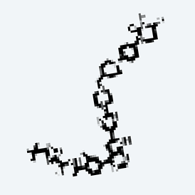 Cc1cc(-c2ncnc3[nH]c(-c4cnc(N5CCN(CC6CCN(c7ccc(N8CCC(=O)NC8=O)cc7)CC6)CC5)nc4)cc23)ccc1C(C)NC(=O)c1nc(C(C)(C)C)no1